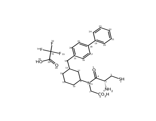 N[C@@H](CS)C(=O)N(CC(=O)O)C1CCCC(Cc2ccc(-c3ccccc3)cc2)C1.O=C(O)C(F)(F)F